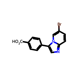 O=C(O)c1ccc(-c2cnc3ccc(Br)cn23)cc1